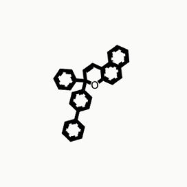 C1=CC(c2ccccc2)(c2ccc(-c3ccccc3)cc2)Oc2ccc3ccccc3c21